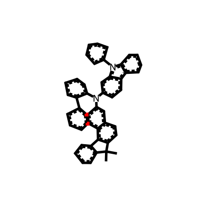 CC1(C)c2ccccc2-c2c1ccc1cc(N(c3ccc4c5ccccc5n(-c5ccccc5)c4c3)c3ccccc3-c3ccccc3)ccc21